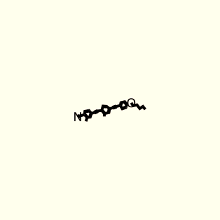 CCCCCOc1ccc(C#Cc2ccc(C#Cc3ccc(C#N)c(C)c3)c(C)c2)cc1